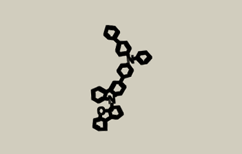 C1=CC(c2ccc3c(c2)c2ccccc2n3-c2cccc3c2oc2ccccc23)CC=C1N(c1ccccc1)c1ccc(-c2ccccc2)cc1